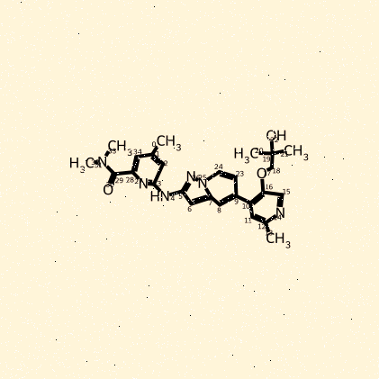 Cc1cc(Nc2cc3cc(-c4cc(C)ncc4OCC(C)(C)O)ccn3n2)nc(C(=O)N(C)C)c1